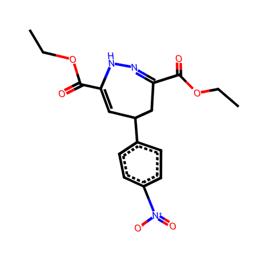 CCOC(=O)C1=CC(c2ccc([N+](=O)[O-])cc2)CC(C(=O)OCC)=NN1